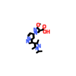 COc1nn(-c2ccn3ncc(-c4c(C)nn(C(C)C)c4C)c3c2)cc1C(=O)O